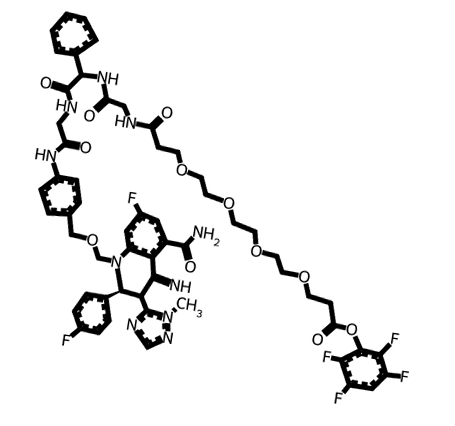 Cn1ncnc1C1C(=N)c2c(C(N)=O)cc(F)cc2N(COCc2ccc(NC(=O)CNC(=O)C(NC(=O)CNC(=O)CCOCCOCCOCCOCCC(=O)Oc3c(F)c(F)cc(F)c3F)c3ccccc3)cc2)[C@@H]1c1ccc(F)cc1